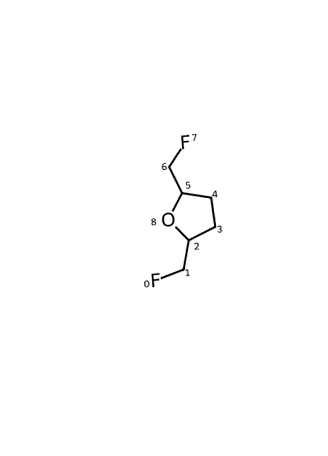 FCC1CCC(CF)O1